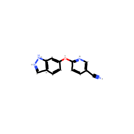 N#Cc1ccc(Oc2ccc3cn[nH]c3c2)nc1